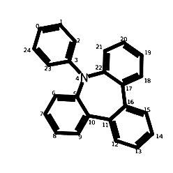 c1ccc(N2c3ccccc3-c3ccccc3-c3ccccc32)cc1